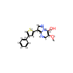 COc1cnc2c(-c3cc(-c4ccccc4)cs3)cnn2c1O